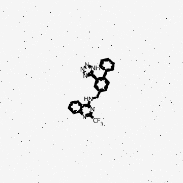 FC(F)(F)c1nc(NCc2ccc(-c3ccccc3)c(-c3nnn[nH]3)c2)c2ccccc2n1